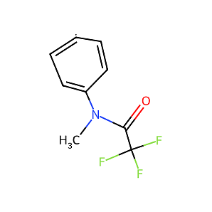 CN(C(=O)C(F)(F)F)c1cc[c]cc1